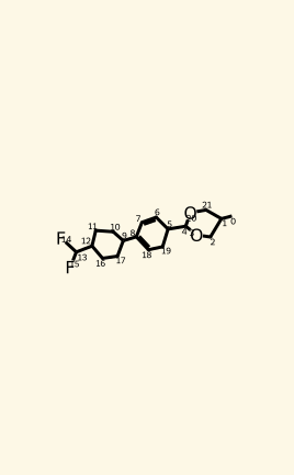 CC1COC(C2C=CC(C3CCC(C(F)F)CC3)=CC2)OC1